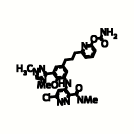 CNC(=O)c1nnc(Cl)cc1Nc1cc(CCCc2cccc(OC(N)=O)n2)cc(-c2ncn(C)n2)c1OC